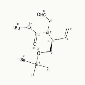 C=C[C@@H](CO[Si](C)(C)C(C)(C)C)N(CC=O)C(=O)OC(C)(C)C